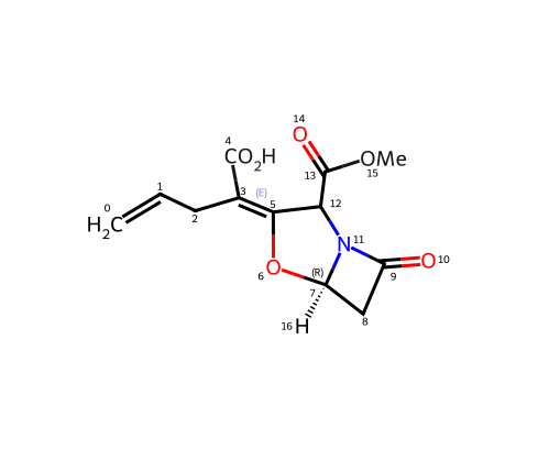 C=CC/C(C(=O)O)=C1\O[C@@H]2CC(=O)N2C1C(=O)OC